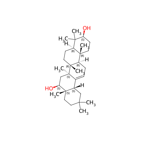 CC1(C)CC[C@]2(C)[C@@H](O)C[C@]3(C)C(=CC[C@@H]4[C@@]5(C)CC[C@H](O)C(C)(C)[C@@H]5CC[C@]43C)[C@@H]2C1